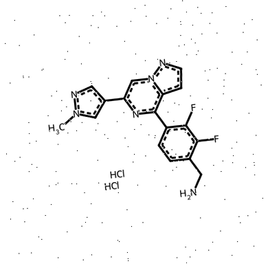 Cl.Cl.Cn1cc(-c2cn3nccc3c(-c3ccc(CN)c(F)c3F)n2)cn1